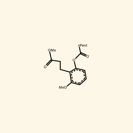 CCCCCC(=O)Oc1cccc(OC)c1CCC(=O)OC